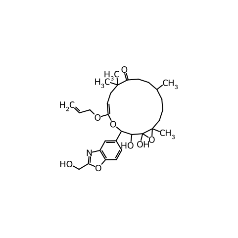 C=CCO/C1=C/CC(C)(C)C(=O)CCC(C)CCCC2(C)OC2(O)C(O)C(c2ccc3oc(CO)nc3c2)O1